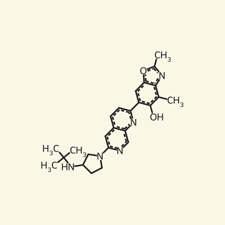 Cc1nc2c(C)c(O)c(-c3ccc4cc(N5CCC(NC(C)(C)C)C5)ncc4n3)cc2o1